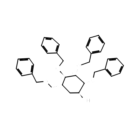 C[C@H]1C[C@H](COCc2ccccc2)[C@@H](OCc2ccccc2)[C@H](OCc2ccccc2)[C@@H]1OCc1ccccc1